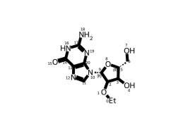 CCOC1C(O)[C@@H](CO)O[C@H]1n1cnc2c(=O)[nH]c(N)nc21